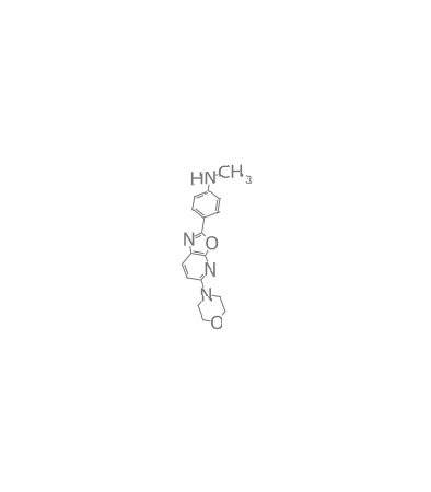 CNc1ccc(-c2nc3ccc(N4CCOCC4)nc3o2)cc1